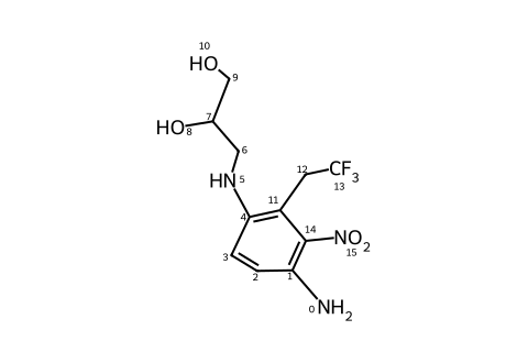 Nc1ccc(NCC(O)CO)c(CC(F)(F)F)c1[N+](=O)[O-]